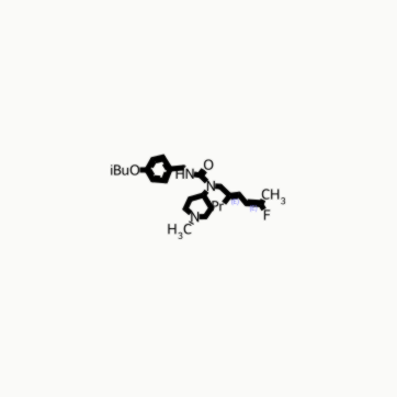 C/C(F)=C\C=C(\CN(C(=O)NCc1ccc(OCC(C)C)cc1)C1CCN(C)CC1)C(C)C